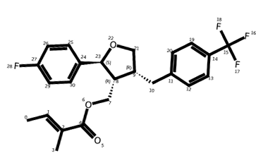 CC=C(C)C(=O)OC[C@H]1[C@@H](Cc2ccc(C(F)(F)F)cc2)CO[C@@H]1c1ccc(F)cc1